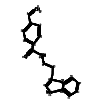 C=Cc1ccc(C(=O)NCCc2c[nH]c3ccccc23)cc1